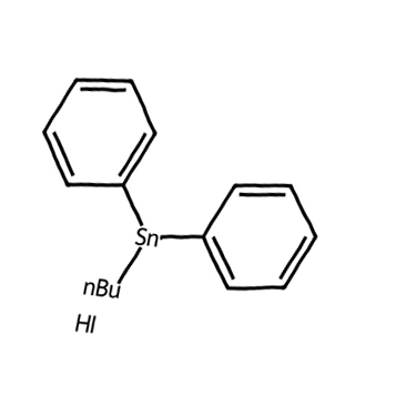 CCC[CH2][Sn]([c]1ccccc1)[c]1ccccc1.I